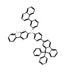 c1ccc(C2(c3ccccc3)c3ccccc3-c3ccc(-c4ccc(N(c5cccc(-c6cccc7ccccc67)c5)c5ccc6c(c5)oc5ccccc56)cc4)cc32)cc1